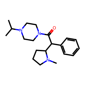 CC(C)N1CCN(C(=O)C(c2ccccc2)C2CCCN2C)CC1